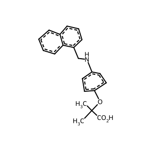 CC(C)(Oc1ccc(NCc2cccc3ccccc23)cc1)C(=O)O